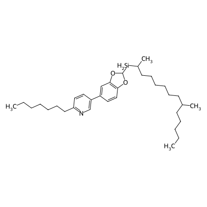 CCCCCCCc1ccc(-c2ccc3c(c2)OC([SiH2]C(C)CCCCCCC(C)CCCCC)O3)cn1